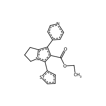 CCOC(=O)c1c(-c2ccncc2)c2n(c1-c1cccs1)CCC2